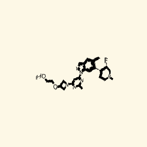 Cc1nc(N2CC(OCCO)C2)cc(-n2ncc3cc(C)c([C@H]4CCN(C)C[C@H]4F)cc32)n1